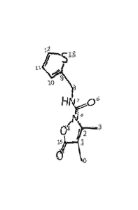 Cc1c(C)n(C(=O)NCc2cccs2)oc1=O